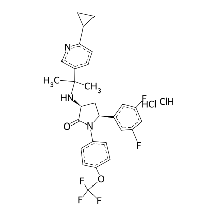 CC(C)(N[C@H]1C[C@@H](c2cc(F)cc(F)c2)N(c2ccc(OC(F)(F)F)cc2)C1=O)c1ccc(C2CC2)nc1.Cl.Cl